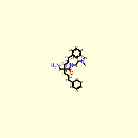 CN(C)CCNC(=O)C(CN)(CCCC1=CC=CCC1)CCCc1ccccc1